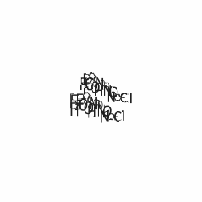 O=C(c1ccccc1OC(F)(F)C(F)F)N1CC[C@@H](CNc2nc3ccc(Cl)cc3o2)C1.O=C(c1ccccc1OC(F)(F)F)N1CC[C@@H](CNc2nc3ccc(Cl)cc3o2)C1